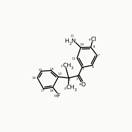 CC(C)(C(=O)c1ccc(Cl)c(N)c1)c1ccccc1F